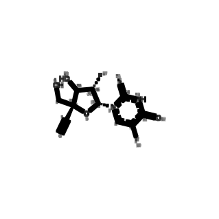 C#C[C@]1(CO)O[C@@H](n2cc(F)c(=O)[nH]c2=S)[C@@H](F)C1O